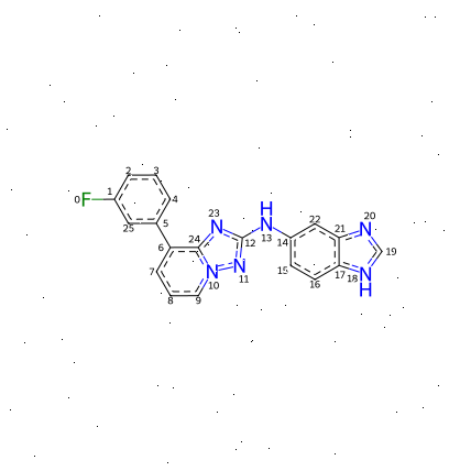 Fc1cccc(-c2cccn3nc(Nc4ccc5[nH]cnc5c4)nc23)c1